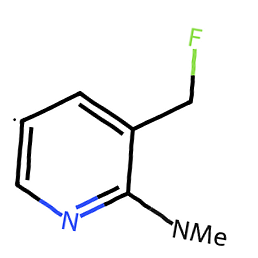 CNc1nc[c]cc1CF